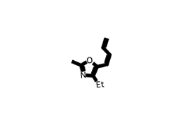 C=C/C=C\c1oc(C)nc1CC